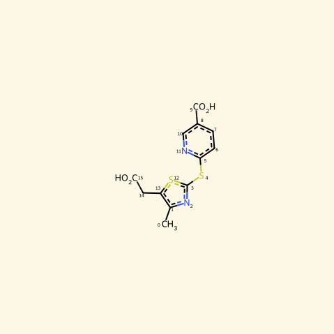 Cc1nc(Sc2ccc(C(=O)O)cn2)sc1CC(=O)O